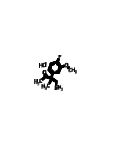 COc1cc(C(C)(CN)C(C)=O)ccc1F.Cl